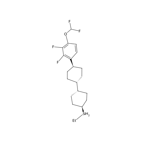 CC[SiH2][C@H]1CC[C@H]([C@H]2CC[C@H](c3ccc(OC(F)F)c(F)c3F)CC2)CC1